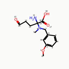 COc1cccc(CN(C)C(N)(CCC=O)C(=O)O)c1